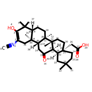 [C-]#[N+]C1=C(O)C(C)(C)[C@@H]2CC[C@]3(C)[C@H](CC(=O)[C@@H]4[C@@H]5CC(C)(C)CC[C@]5(CC(=O)O)CC[C@]43C)[C@@]2(C)C1